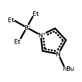 CCCCn1cc[n+]([B-](CC)(CC)CC)c1